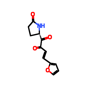 O=C1CC[C@@H](C(=O)C(=O)C=Cc2ccco2)N1